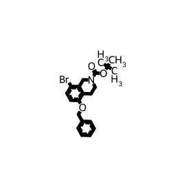 CC(C)(C)OC(=O)N1CCc2c(OCc3ccccc3)ccc(Br)c2C1